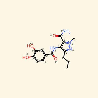 CCCc1nn(C)c(C(N)=O)c1NC(=O)c1ccc(O)c(O)c1